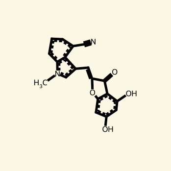 Cn1cc(C=C2Oc3cc(O)cc(O)c3C2=O)c2c(C#N)cccc21